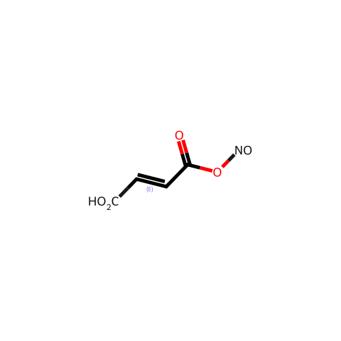 O=NOC(=O)/C=C/C(=O)O